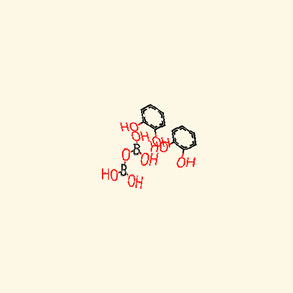 OB(O)OB(O)O.Oc1ccccc1O.Oc1ccccc1O